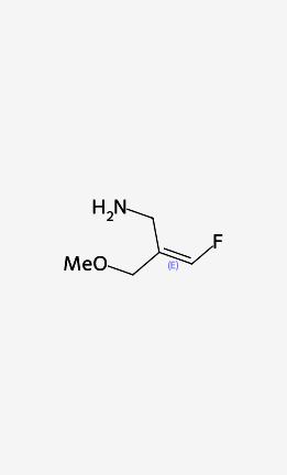 COC/C(=C/F)CN